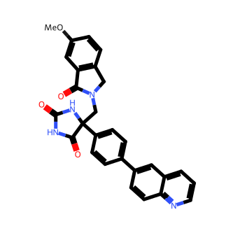 COc1ccc2c(c1)C(=O)N(CC1(c3ccc(-c4ccc5ncccc5c4)cc3)NC(=O)NC1=O)C2